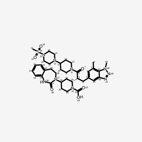 Cc1cc(CC(C(=O)N2CCC(N3CCN(S(C)(=O)=O)CC3)CC2)[C@H]2CC(N3CCc4ccccc4NC3=O)CCN2C(=O)O)cc2nnn(C)c12